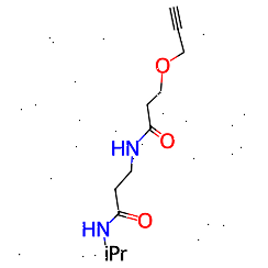 C#CCOCCC(=O)NCCC(=O)NC([CH2])C